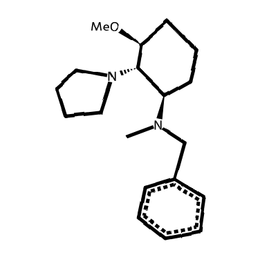 CO[C@H]1CCC[C@@H](N(C)Cc2ccccc2)[C@@H]1N1CCCC1